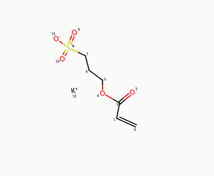 C=CC(=O)OCCCS(=O)(=O)[O-].[K+]